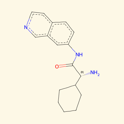 N[C@@H](C(=O)Nc1ccc2ccncc2c1)C1CCCCC1